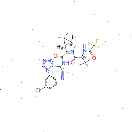 CC(C)(C)[C@H](NC(=O)C(F)(F)F)C(=O)N1C[C@H]2[C@@H]([C@H]1C(=O)NC(C#N)c1nncn1-c1cccc(Cl)c1)C2(C)C